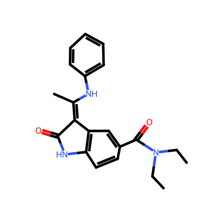 CCN(CC)C(=O)c1ccc2c(c1)C(=C(C)Nc1ccccc1)C(=O)N2